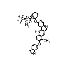 Cc1c(Oc2ccn3ncnc3c2)ccc(Nc2ncnc3cnc(OC45CCCC(CC4)N5C(=O)OC(C)(C)C)cc23)c1F